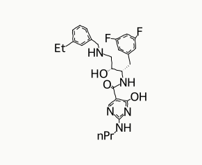 CCCNc1ncc(C(=O)N[C@@H](Cc2cc(F)cc(F)c2)[C@H](O)CNCc2cccc(CC)c2)c(O)n1